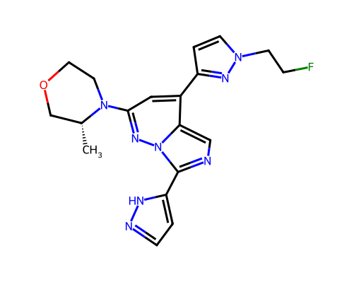 C[C@@H]1COCCN1c1cc(-c2ccn(CCF)n2)c2cnc(-c3ccn[nH]3)n2n1